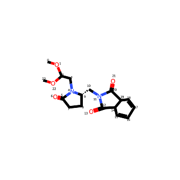 COC(CN1C(=O)CC[C@H]1CN1C(=O)C2C=CC=CC2C1=O)OC